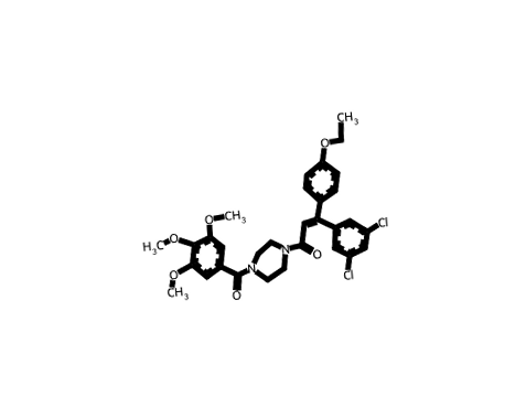 CCOc1ccc(C(=CC(=O)N2CCN(C(=O)c3cc(OC)c(OC)c(OC)c3)CC2)c2cc(Cl)cc(Cl)c2)cc1